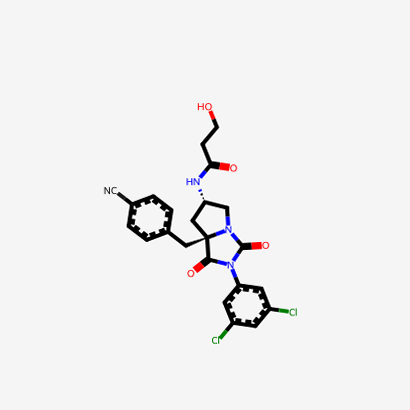 N#Cc1ccc(C[C@@]23C[C@H](NC(=O)CCO)CN2C(=O)N(c2cc(Cl)cc(Cl)c2)C3=O)cc1